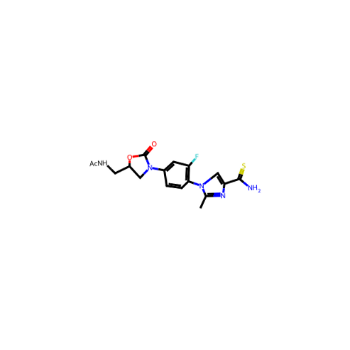 CC(=O)NCC1CN(c2ccc(-n3cc(C(N)=S)nc3C)c(F)c2)C(=O)O1